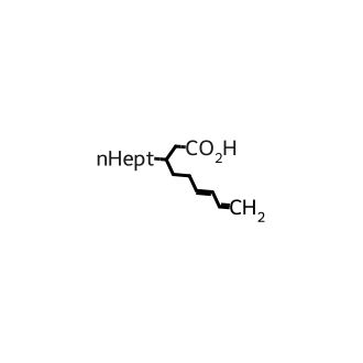 C=CC=CCCC(CCCCCCC)CC(=O)O